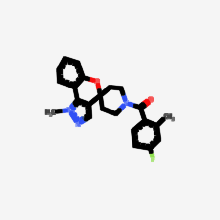 Cc1cc(F)ccc1C(=O)N1CCC2(CC1)Oc1ccccc1-c1c2cnn1C